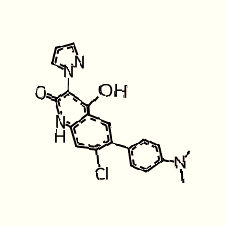 CN(C)c1ccc(-c2cc3c(O)c(-n4cccn4)c(=O)[nH]c3cc2Cl)cc1